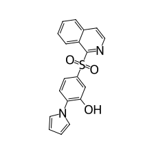 O=S(=O)(c1ccc(-n2cccc2)c(O)c1)c1nccc2ccccc12